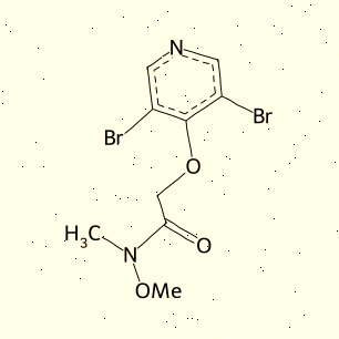 CON(C)C(=O)COc1c(Br)cncc1Br